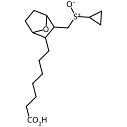 O=C(O)CCCCCCC1C2CCC(O2)C1C[S+]([O-])C1CC1